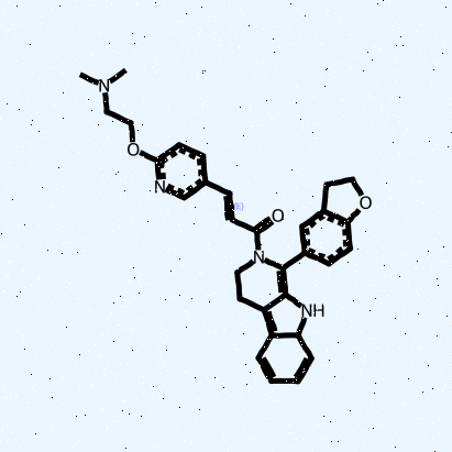 CN(C)CCOc1ccc(/C=C/C(=O)N2CCC3=C4C=CC=CC4NC3=C2c2ccc3c(c2)CCO3)cn1